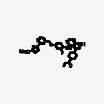 C=CC(=O)N1CCC(c2c[nH]c3ncnc(Nc4ccc(OCc5ccnc(-n6ccc(OC)n6)c5)cc4F)c23)CC1